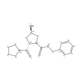 O=C([C@@H]1C[C@@H](O)CN1C(=O)OCc1ccccc1)N1CCCC1